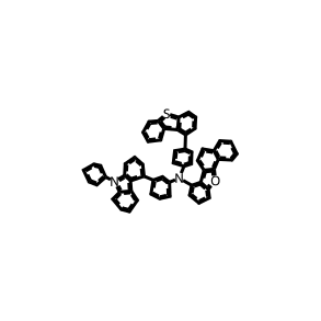 c1ccc(-n2c3ccccc3c3c(-c4cccc(N(c5ccc(-c6cccc7sc8ccccc8c67)cc5)c5cccc6oc7c8ccccc8ccc7c56)c4)cccc32)cc1